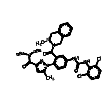 CCCCN(CCCC)C(=O)c1cc(C)n(-c2ccc(NC(=O)Nc3c(Cl)cccc3Cl)cc2C(=O)N2Cc3ccccc3C[C@H]2C)n1